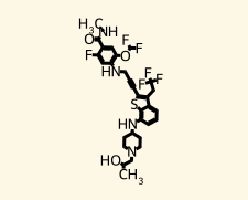 CNC(=O)c1cc(OC(F)F)c(NCC#Cc2sc3c(NC4CCN(CC(C)O)CC4)cccc3c2CC(F)(F)F)cc1F